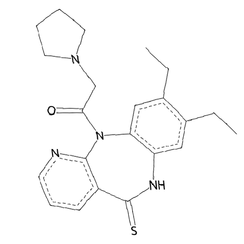 CCc1cc2c(cc1CC)N(C(=O)CN1CCCC1)c1ncccc1C(=S)N2